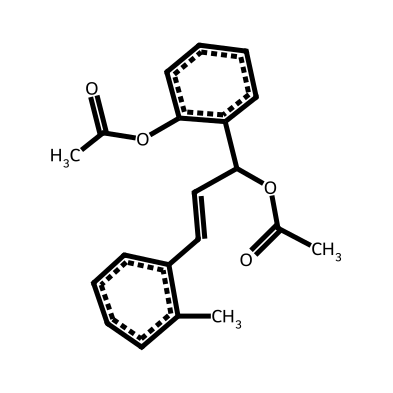 CC(=O)Oc1ccccc1C(C=Cc1ccccc1C)OC(C)=O